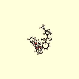 O=C(N[C@H]1CC=CC[C@H](NS(=O)(=O)N2CC3CCC(C2)N3CCN2CCOCC2)C1)c1cc(C2CC2)on1